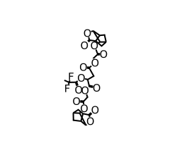 CC(F)(F)C(=O)OC(CC(=O)OCC(=O)OC1C2CC3C(=O)OC1C3C2)C(=O)OCC(=O)OC1C2CC3C(=O)OC1C3C2